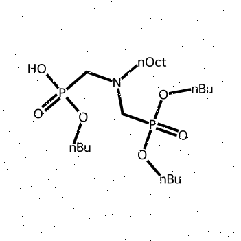 CCCCCCCCN(CP(=O)(O)OCCCC)CP(=O)(OCCCC)OCCCC